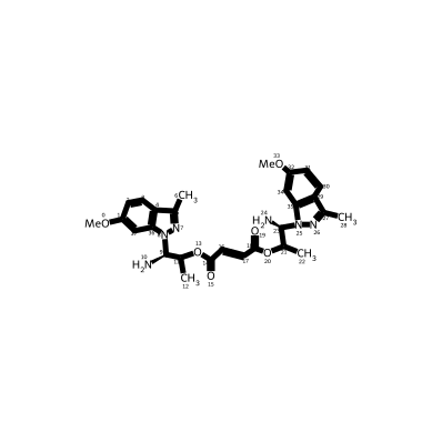 COc1ccc2c(C)nn([C@H](N)C(C)OC(=O)/C=C/C(=O)OC(C)[C@@H](N)n3nc(C)c4ccc(OC)cc43)c2c1